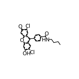 CCCCNC(=O)c1ccc(-c2c3cc(Cl)c(=O)cc-3oc3cc(O)c(Cl)cc23)cc1